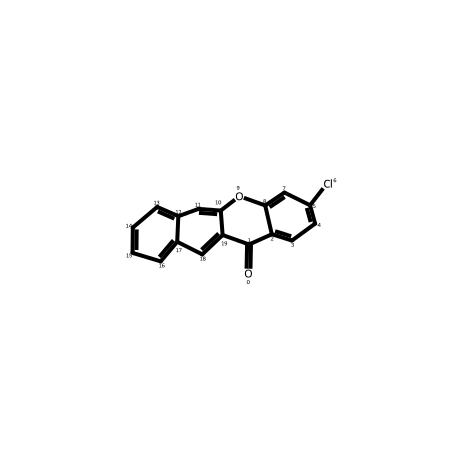 O=c1c2ccc(Cl)cc2oc2cc3ccccc3cc12